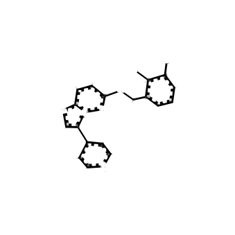 Cc1cccc(CNc2ccc3ncc(-c4ccncc4)n3n2)c1C